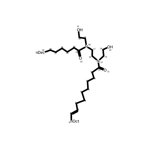 CCCCCCCCC=CCCCCCCCC(=O)N(CCO)CCN(CCO)C(=O)CCCCCCCCCCCCCCC